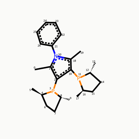 Cc1c(P2[C@H](C)CC[C@H]2C)c(P2[C@H](C)CC[C@H]2C)c(C)n1-c1ccccc1